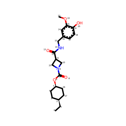 CC[C@H]1CC[C@@H](OC(=O)N2CC(C(=O)NCc3ccc(O)c(OC)c3)C2)CC1